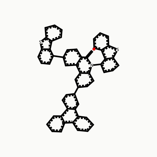 O=c1c2ccc(-c3cccc4sc5ccccc5c34)cc2c2cc(-c3ccc4c5ccccc5c5ccccc5c4c3)ccc2n1-c1cccc2sc3ccccc3c12